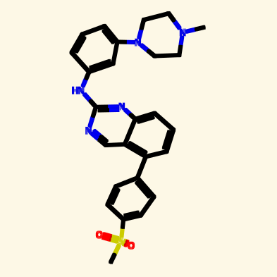 CN1CCN(c2cccc(Nc3ncc4c(-c5ccc(S(C)(=O)=O)cc5)cccc4n3)c2)CC1